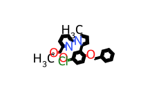 COC(=O)c1cccc(-n2c(C)ccc2-c2cc(Cl)ccc2OCc2ccccc2)n1